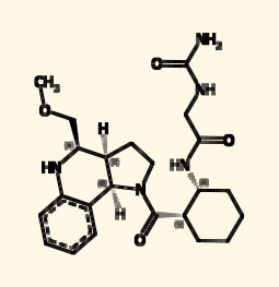 COC[C@@H]1Nc2ccccc2[C@H]2[C@@H]1CCN2C(=O)[C@H]1CCCC[C@H]1NC(=O)CNC(N)=O